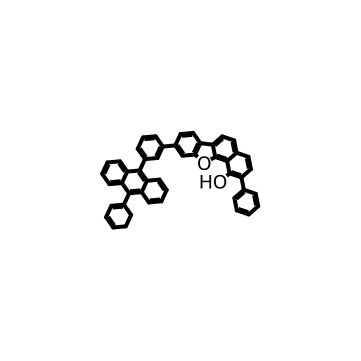 Oc1c(-c2ccccc2)ccc2ccc3c4ccc(-c5cccc(-c6c7ccccc7c(C7=CC=CCC7)c7ccccc67)c5)cc4oc3c12